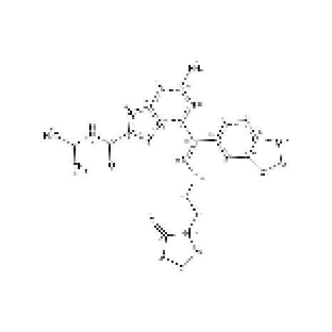 CC(C)NC(=O)c1cc2c(C(=NOCCN3CCCC3=O)c3ccc4c(c3)OCO4)nc(N)nc2s1